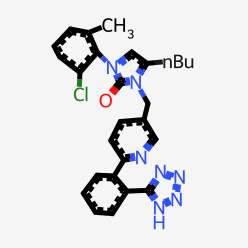 CCCCc1cn(-c2c(C)cccc2Cl)c(=O)n1Cc1ccc(-c2ccccc2-c2nnn[nH]2)nc1